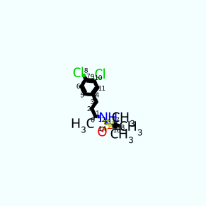 C[C@H](CCc1ccc(Cl)c(Cl)c1)N[S@+]([O-])C(C)(C)C